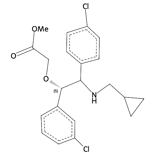 COC(=O)CO[C@@H](c1cccc(Cl)c1)C(NCC1CC1)c1ccc(Cl)cc1